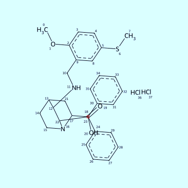 COc1ccc(SC)cc1CNC1C2CCN(C(C(=O)O)C2)C1C(c1ccccc1)c1ccccc1.Cl.Cl